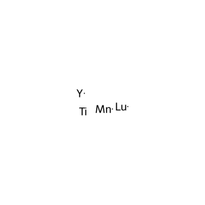 [Lu].[Mn].[Ti].[Y]